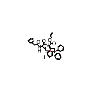 C=CCOC(=O)C1=C(C[P+](c2ccccc2)(c2ccccc2)c2ccccc2)CSC2C(NC(=O)Cc3cccs3)C(=O)N12.[I-]